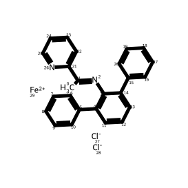 CC(=Nc1c(-c2ccccc2)cccc1-c1ccccc1)c1ccccn1.[Cl-].[Cl-].[Fe+2]